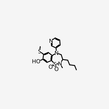 CCCCC1CN(c2cccnc2)c2cc(SC)c(O)cc2S(=O)(=O)N1C